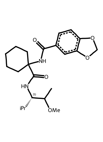 COC(C)[C@@H](NC(=O)C1(NC(=O)c2ccc3c(c2)OCO3)CCCCC1)C(C)C